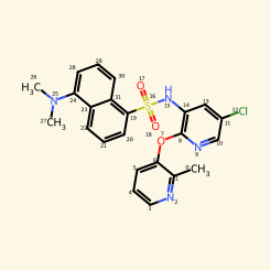 Cc1ncccc1Oc1ncc(Cl)cc1NS(=O)(=O)c1cccc2c(N(C)C)cccc12